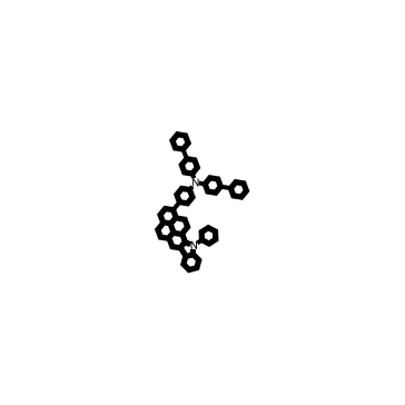 c1ccc(-c2ccc(N(c3ccc(-c4ccccc4)cc3)c3ccc(-c4ccc5ccc6cc7c8ccccc8n(-c8ccccc8)c7c7ccc4c5c67)cc3)cc2)cc1